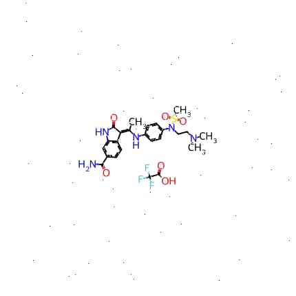 CC(Nc1ccc(N(CCN(C)C)S(C)(=O)=O)cc1)=C1C(=O)Nc2cc(C(N)=O)ccc21.O=C(O)C(F)(F)F